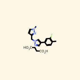 Cc1ccc(-c2cnn(Cc3ccn(C)n3)c2)cc1F.O=C(O)CCC(=O)O